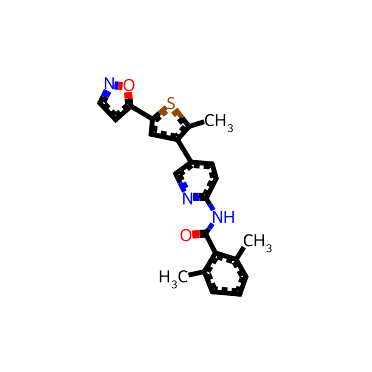 Cc1cccc(C)c1C(=O)Nc1ccc(-c2cc(-c3ccno3)sc2C)cn1